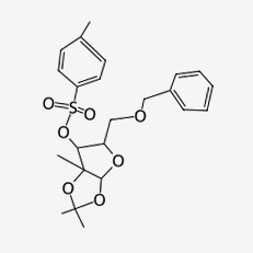 Cc1ccc(S(=O)(=O)OC2C(COCc3ccccc3)OC3OC(C)(C)OC32C)cc1